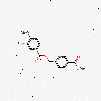 COC(=O)c1ccc(COC(=O)c2ccc(OC)c(C(C)(C)C)c2)cc1